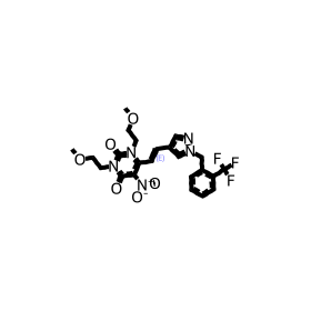 COCCn1c(/C=C/c2cnn(Cc3ccccc3C(F)(F)F)c2)c([N+](=O)[O-])c(=O)n(CCOC)c1=O